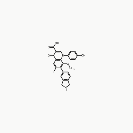 COc1c(-c2ccc3c(c2)CNC3)c(F)cc2c(=O)c(C(=O)O)cn(-c3ccc(O)cc3)c12